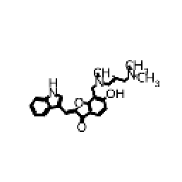 CN(C)CCCN(C)Cc1c(O)ccc2c1OC(=Cc1c[nH]c3ccccc13)C2=O